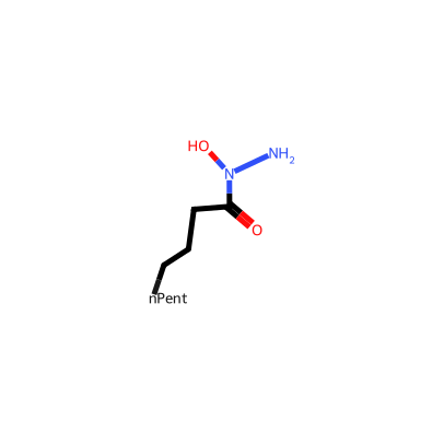 CCCCCCCCC(=O)N(N)O